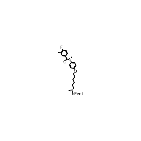 CCCCCN(C)CCCCCCOc1ccc(N(C)C(=O)c2ccc(F)c(C)c2)cc1